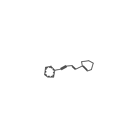 C(#Cc1[c]cccc1)C=CC1=CCCCC1